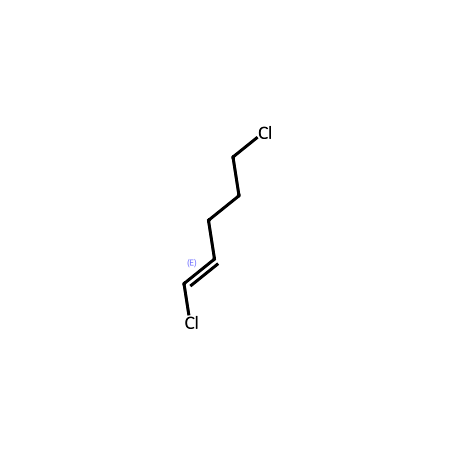 Cl/C=C/CCCCl